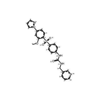 COc1cc(-n2cccn2)ccc1S(=O)(=O)c1ccc(NC(=O)NCc2cccnc2)cc1